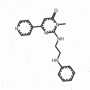 Cn1c(NCCNc2ccccc2)nc(-c2ccncc2)cc1=O